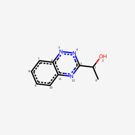 CC(O)c1nnc2ccccc2n1